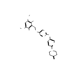 COc1cc(OC)c(F)c(COc2cnc(Nc3ccc(N4CCC(=O)CC4)nc3)nc2)c1F